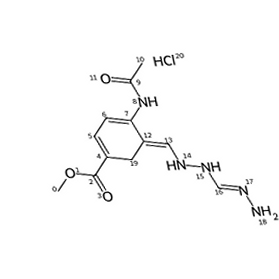 COC(=O)C1=CC=C(NC(C)=O)C(=CNNC=NN)C1.Cl